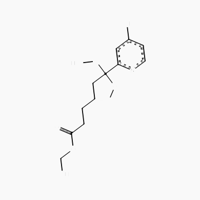 CCOC(=O)CCCCC(OC)(OC)c1cc(Cl)ccn1